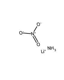 N.O=[N+]([O-])[O-].[Li+]